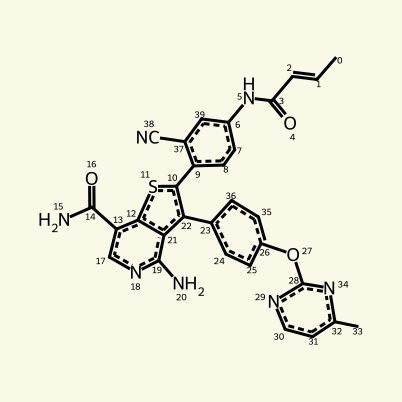 CC=CC(=O)Nc1ccc(-c2sc3c(C(N)=O)cnc(N)c3c2-c2ccc(Oc3nccc(C)n3)cc2)c(C#N)c1